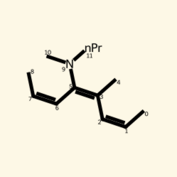 C\C=C/C(C)=C(\C=C/C)N(C)CCC